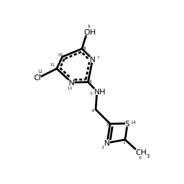 CC1N=C(CNc2nc(O)cc(Cl)n2)S1